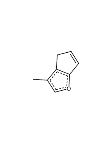 Cc1coc2c1CC=C2